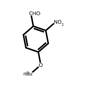 CCCCOc1ccc([C]=O)c([N+](=O)[O-])c1